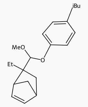 CCC(C)c1ccc(OC(OC)C2(CC)CC3C=CC2C3)cc1